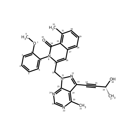 COc1ccccc1-n1c(Cn2nc(C#C[C@@H](C)O)c3c(C)ncnc32)cc2cccc(C)c2c1=O